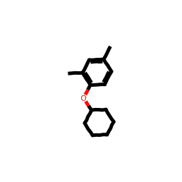 Cc1ccc(OC2CCCCC2)c(C)c1